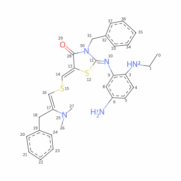 CCNc1ccc(N)cc1/N=C1\S/C(=C\S/C=C(/Cc2ccccc2)N(C)C)C(=O)N1Cc1ccccc1